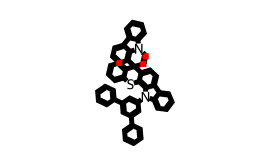 c1ccc(-c2cc(-c3ccccc3)cc(-n3c4ccccc4c4ccc5c(c43)Sc3ccccc3C53c4ccccc4-n4c5ccccc5c5cccc3c54)c2)cc1